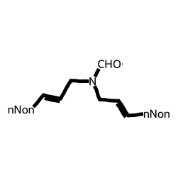 CCCCCCCCC/C=C/CN([C]=O)C/C=C/CCCCCCCCC